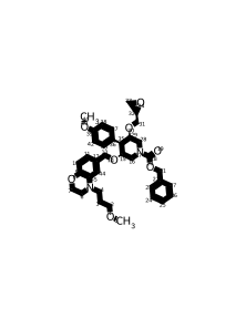 COCCCN1CCOc2ccc(CO[C@H]3CN(C(=O)OCc4ccccc4)C[C@@H](OC[C@H]4CO4)[C@@H]3c3ccc(OC)cc3)cc21